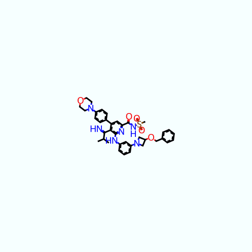 CC(C)C(=N)c1c(-c2ccc(N3CCOCC3)cc2)cc(C(=O)NS(C)(=O)=O)nc1Nc1cccc(N2CC(OCc3ccccc3)C2)c1